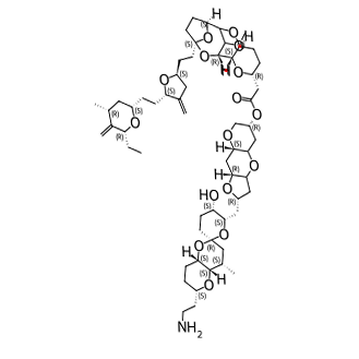 C=C1C[C@H](CC[C@]23CC[C@H](O2)C2O[C@H]4CC[C@H](CC(=O)O[C@H]5CO[C@H]6C[C@H]7O[C@@H](C[C@@H]8O[C@@]9(CC[C@@H]8O)C[C@H](C)[C@@H]8O[C@H](CCN)CC[C@@H]8O9)CC7OC6C5)O[C@@H]4[C@H](O3)C2OC)O[C@H]1CC[C@H]1C[C@@H](C)C(=C)[C@@H](CC)O1